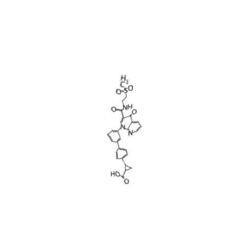 CS(=O)(=O)CCNC(=O)c1cn(-c2cccc(-c3ccc(C4CC4C(=O)O)cc3)c2)c2ncccc2c1=O